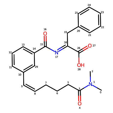 CN(C)C(=O)CCC/C=C\c1cccc(C(=O)/N=C(\Cc2ccccc2)C(=O)O)c1